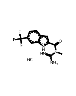 CN(C(=N)N)C(=O)c1cc2ccc(C(F)(F)F)cc2[nH]1.Cl